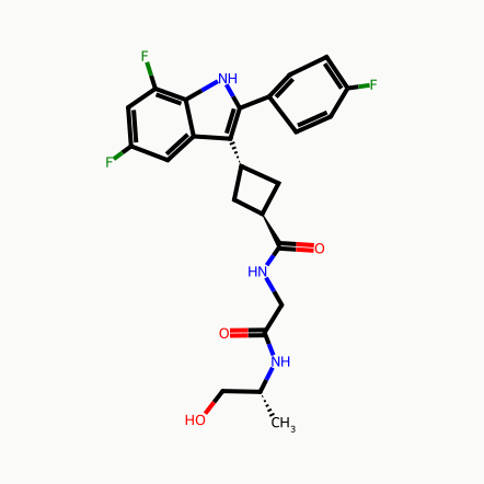 C[C@H](CO)NC(=O)CNC(=O)[C@H]1C[C@H](c2c(-c3ccc(F)cc3)[nH]c3c(F)cc(F)cc32)C1